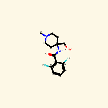 CN1CCC(CO)(NC(=O)c2c(F)cccc2F)CC1